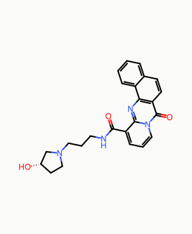 O=C(NCCCN1CC[C@H](O)C1)c1cccn2c(=O)c3ccc4ccccc4c3nc12